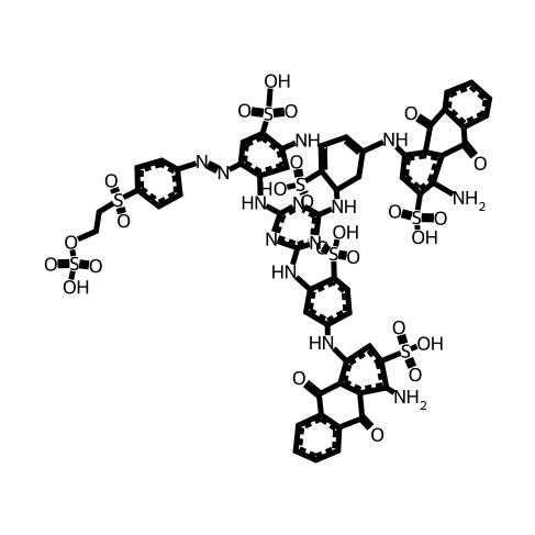 Nc1cc(Nc2nc(Nc3cc(Nc4cc(S(=O)(=O)O)c(N)c5c4C(=O)c4ccccc4C5=O)ccc3S(=O)(=O)O)nc(NC3CC(Nc4cc(S(=O)(=O)O)c(N)c5c4C(=O)c4ccccc4C5=O)=CC=C3S(=O)(=O)O)n2)c(/N=N/c2ccc(S(=O)(=O)CCOS(=O)(=O)O)cc2)cc1S(=O)(=O)O